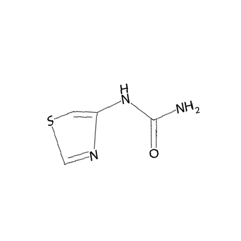 NC(=O)Nc1cscn1